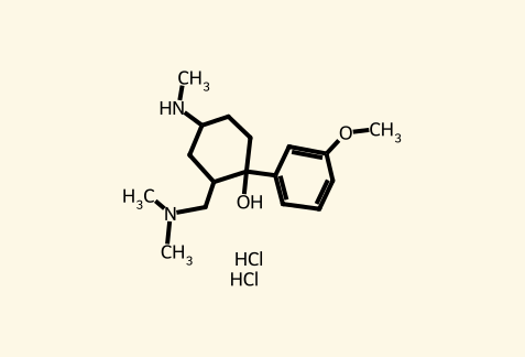 CNC1CCC(O)(c2cccc(OC)c2)C(CN(C)C)C1.Cl.Cl